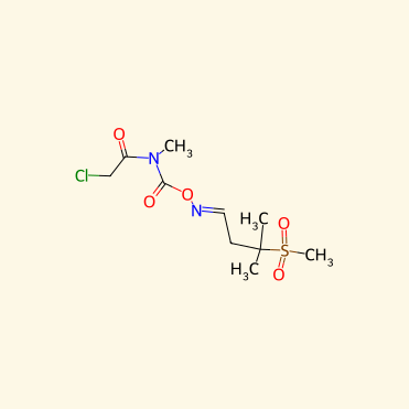 CN(C(=O)CCl)C(=O)ON=CCC(C)(C)S(C)(=O)=O